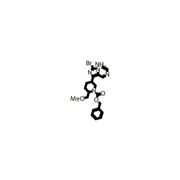 COCC1CCC(C2=C3C=NC=C[N+]3(N)C(Br)=N2)CN1C(=O)OCc1ccccc1